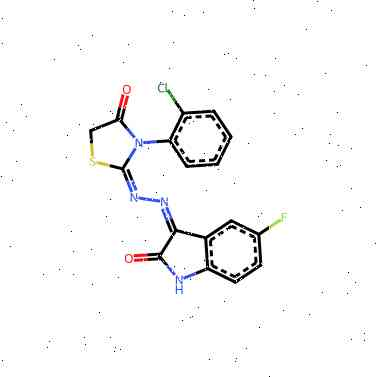 O=C1Nc2ccc(F)cc2C1=NN=C1SCC(=O)N1c1ccccc1Cl